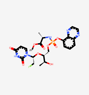 CC(C)OC(=O)[C@H](C)NP(=O)(OC[C@@H](O[C@H](CF)n1ccc(=O)[nH]c1=O)[C@H](C)O)Oc1cccc2nccnc12